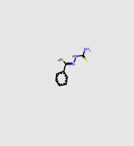 [CH2]CC/C(=N\NC(N)=S)c1ccccc1